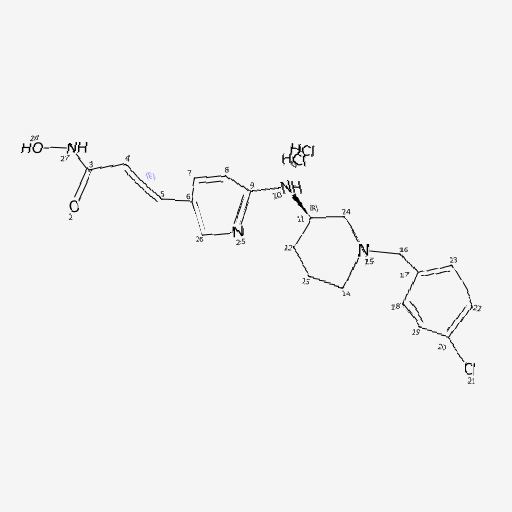 Cl.Cl.O=C(/C=C/c1ccc(N[C@@H]2CCCN(Cc3ccc(Cl)cc3)C2)nc1)NO